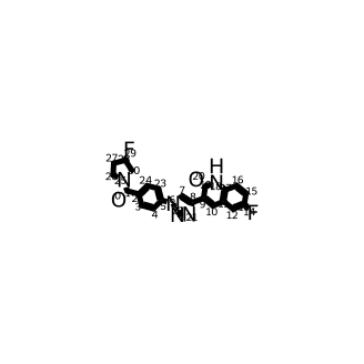 O=C(c1ccc(-n2cc(-c3cc4cc(F)ccc4[nH]c3=O)nn2)cc1)N1CCC(F)C1